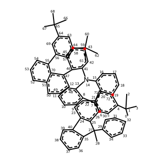 CC(C)(C)c1ccc(-c2ccccc2N(c2ccccc2-c2ccc3c(c2)C(C)(c2ccccc2)c2ccccc2-3)c2ccccc2-c2cccc3cccc(-c4cc(C(C)(C)C)cc(C(C)(C)C)c4)c23)cc1